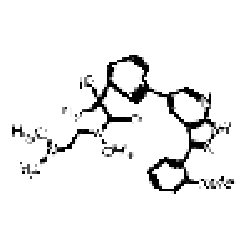 COc1ccccc1-c1n[nH]c2ncc(-c3cccc(C(C)(O)C(=O)N(C)CCN(C)C)c3)cc12